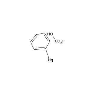 O=C(O)O.[Hg][c]1ccccc1